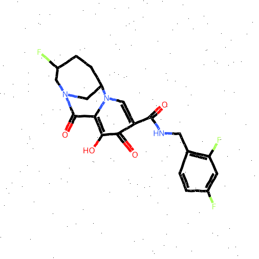 O=C(NCc1ccc(F)cc1F)c1cn2c(c(O)c1=O)C(=O)N1CC(F)CCC2C1